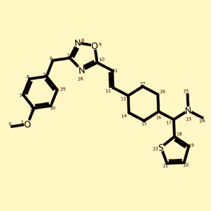 COc1ccc(Cc2noc(C=CC3CCC(C(c4cccs4)N(C)C)CC3)n2)cc1